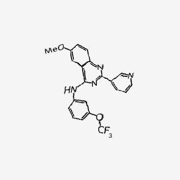 COc1ccc2nc(-c3cccnc3)nc(Nc3cccc(OC(F)(F)F)c3)c2c1